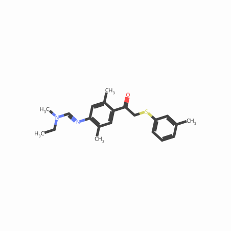 CCN(C)C=Nc1cc(C)c(C(=O)CSc2cccc(C)c2)cc1C